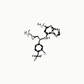 COC[C@@H](Nc1cc(C)nc2ncnn12)c1ccc(C(F)(F)F)c(F)c1